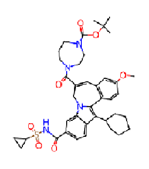 COc1ccc2c(c1)C=C(C(=O)N1CCCN(C(=O)OC(C)(C)C)CC1)Cn1c-2c(C2CCCCC2)c2ccc(C(=O)NS(=O)(=O)C3CC3)cc21